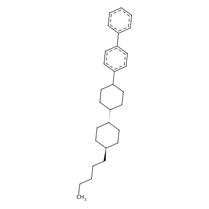 CCCCC[C@H]1CC[C@H](C2CCC(c3ccc(-c4ccccc4)cc3)CC2)CC1